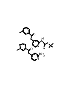 Cc1cccc(C(=O)Cc2ccnc(N)c2)c1.Cc1cccc(C(=O)Cc2ccnc(NC(=O)OC(C)(C)C)c2)c1